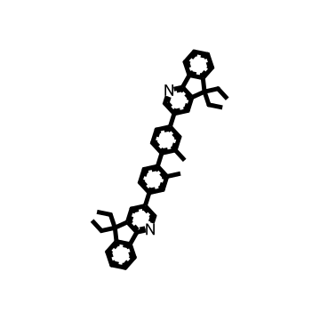 CCC1(CC)c2ccccc2-c2ncc(-c3ccc(-c4ccc(-c5cnc6c(c5)C(CC)(CC)c5ccccc5-6)cc4C)c(C)c3)cc21